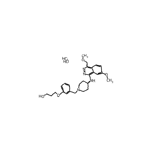 COCc1nnc(NC2CCN(Cc3cccc(OCCCO)c3)CC2)c2cc(OC)ccc12.Cl.Cl